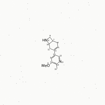 COc1cc(C2=CCC3CNC3C2)cnc1C